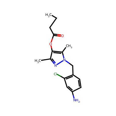 CCCC(=O)Oc1c(C)nn(Cc2ccc(N)cc2Cl)c1C